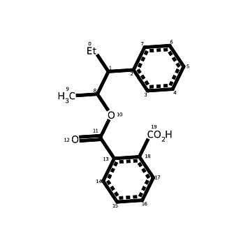 CCC(c1ccccc1)C(C)OC(=O)c1ccccc1C(=O)O